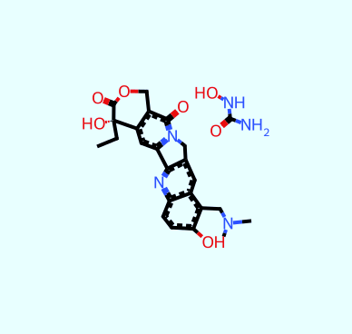 CC[C@@]1(O)C(=O)OCc2c1cc1n(c2=O)Cc2cc3c(CN(C)C)c(O)ccc3nc2-1.NC(=O)NO